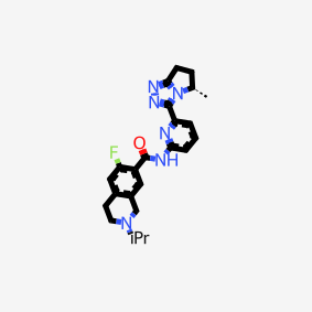 CC(C)N1CCc2cc(F)c(C(=O)Nc3cccc(-c4nnc5n4[C@@H](C)CC5)n3)cc2C1